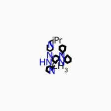 Cc1ncccc1Nc1cc2nc3ccccc3n(-c3ccccc3)c-2c/c1=N\C1CCN(CC(C)C)CC1